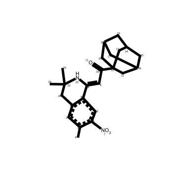 Cc1cc2c(cc1[N+](=O)[O-])C(=CC(=O)C13CC4CC(CC(C4)C1)C3)NC(C)(C)C2